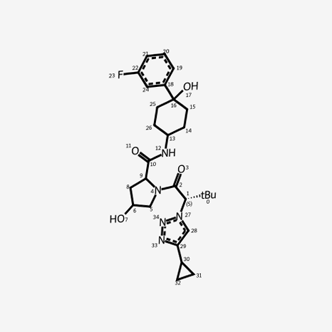 CC(C)(C)[C@@H](C(=O)N1CC(O)CC1C(=O)NC1CCC(O)(c2cccc(F)c2)CC1)n1cc(C2CC2)nn1